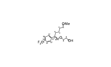 COCCCC/C(=N\OCCO)c1ccc(C(F)(F)F)cc1